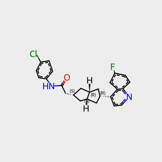 O=C(C[C@@H]1C[C@@H]2C[C@H](c3ccnc4ccc(F)cc34)C[C@@H]2C1)Nc1ccc(Cl)cc1